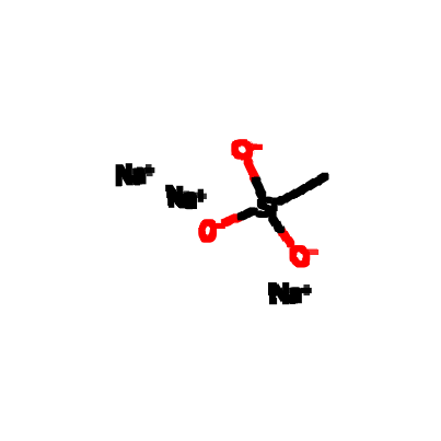 C[Si]([O-])([O-])[O-].[Na+].[Na+].[Na+]